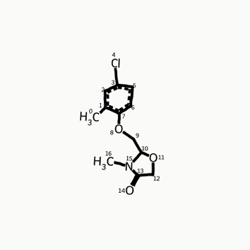 Cc1cc(Cl)ccc1OCC1OCC(=O)N1C